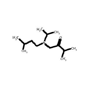 CC(C)CCN(CC(=O)C(C)C)C(C)C